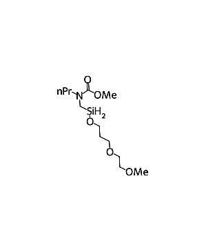 CCCN(C[SiH2]OCCCOCCOC)C(=O)OC